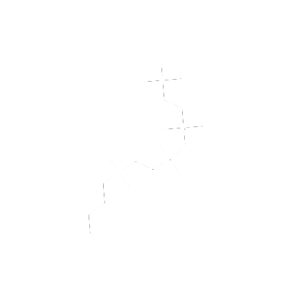 CCCC[Si](C)(C)CC[Si](C)(C)O[Si](C)(C)CC[Si](C)(C)O